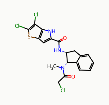 CN(C(=O)CCl)[C@H]1c2ccccc2C[C@H]1NC(=O)c1cc2sc(Cl)c(Cl)c2[nH]1